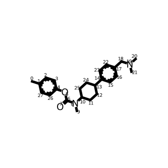 Cc1ccc(OC(=O)N(C)C2CCC(c3ccc(CN(C)C)cc3)CC2)cc1